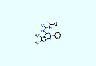 Cc1[nH]c2nc(-c3ccccc3)nc(NC(C)NC(=O)C3CC3)c2c1C